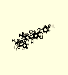 COc1cc(C(=O)NC2CCN(C)CC2)c(Cl)cc1Nc1ncc(C(F)(F)F)c(O[C@@H]2CCC[C@H]2N(C)S(C)(=O)=O)n1